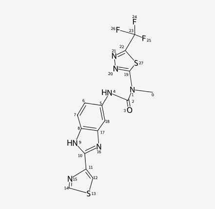 CN(C(=O)Nc1ccc2[nH]c(-c3cscn3)nc2c1)c1nnc(C(F)(F)F)s1